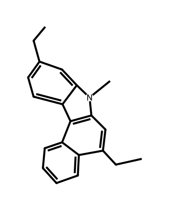 CCc1ccc2c3c4ccccc4c(CC)cc3n(C)c2c1